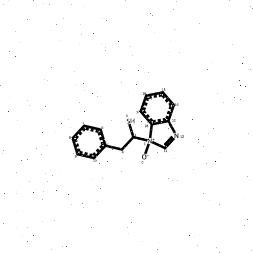 [O-][N+]1(C(S)Cc2ccccc2)C=Nc2ccccc21